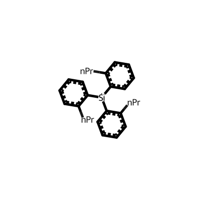 CCCc1ccccc1[Si](c1ccccc1CCC)c1ccccc1CCC